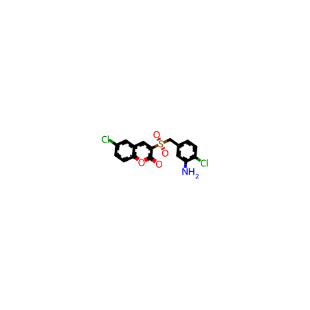 Nc1cc(CS(=O)(=O)c2cc3cc(Cl)ccc3oc2=O)ccc1Cl